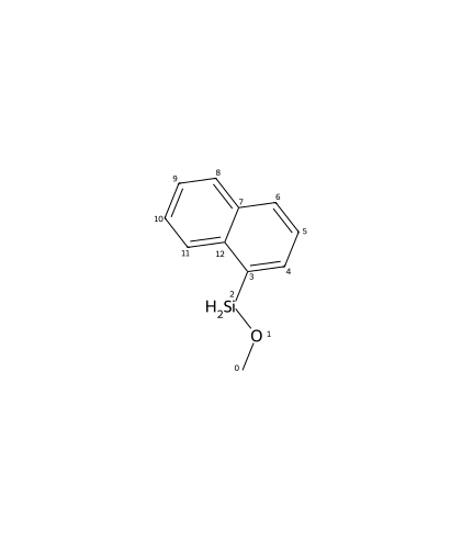 CO[SiH2]c1cccc2ccccc12